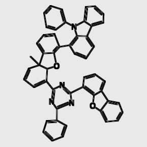 CC12C=CC=C(c3nc(-c4ccccc4)nc(-c4cccc5c4oc4ccccc45)n3)C1Oc1c(-c3cccc4c5ccccc5n(-c5ccccc5)c34)cccc12